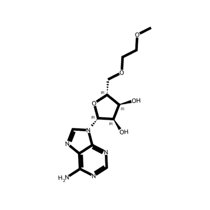 COCCOC[C@H]1O[C@@H](n2cnc3c(N)ncnc32)[C@H](O)[C@@H]1O